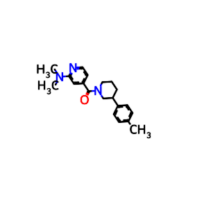 Cc1ccc(C2CCCN(C(=O)c3ccnc(N(C)C)c3)C2)cc1